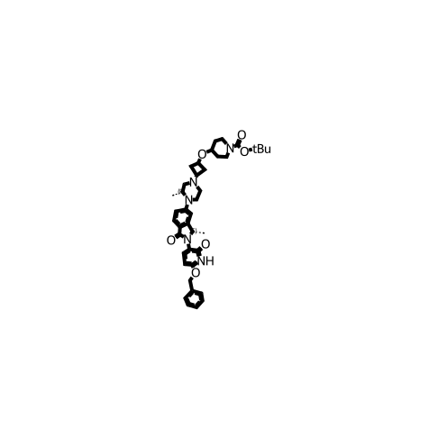 C[C@@H]1CN(C2CC(OC3CCN(C(=O)OC(C)(C)C)CC3)C2)CCN1c1ccc2c(c1)[C@H](C)N(c1ccc(OCc3ccccc3)[nH]c1=O)C2=O